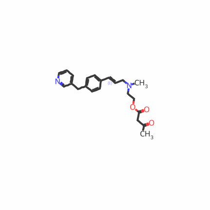 CC(=O)CC(=O)OCCN(C)C/C=C/c1ccc(Cc2cccnc2)cc1